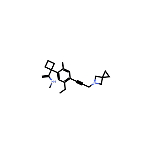 C=C(NC)C1(c2cc(CC)c(C#CCN3CC4(CC4)C3)cc2C)CCC1